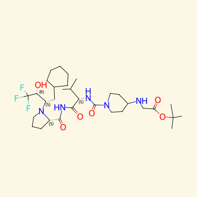 CC(C)[C@H](NC(=O)N1CCC(NCC(=O)OC(C)(C)C)CC1)C(=O)NC(=O)[C@@H]1CCCN1[C@@H](CC1CCCCC1)[C@@H](O)C(F)(F)F